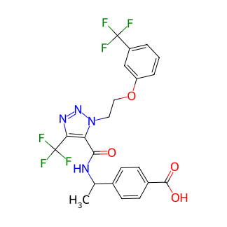 CC(NC(=O)c1c(C(F)(F)F)nnn1CCOc1cccc(C(F)(F)F)c1)c1ccc(C(=O)O)cc1